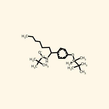 CCCCCCC(N[S+]([O-])C(C)(C)C)c1ccc(O[Si](C)(C)C(C)(C)C)cc1